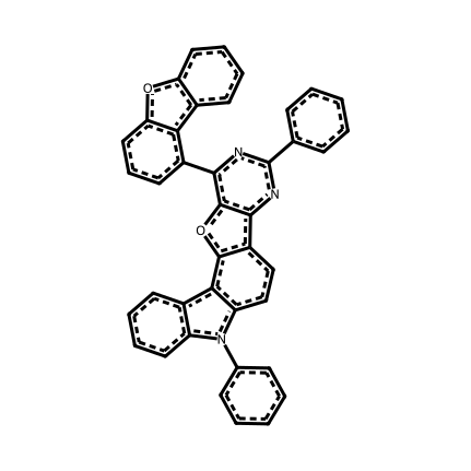 c1ccc(-c2nc(-c3cccc4oc5ccccc5c34)c3oc4c(ccc5c4c4ccccc4n5-c4ccccc4)c3n2)cc1